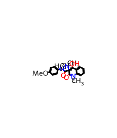 COc1ccc(N(C)C(=O)C2(N(C)C)C(=O)N(C)c3ccccc3C2O)cc1